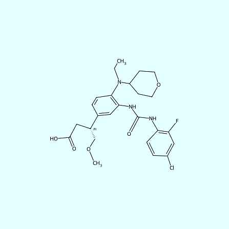 CCN(c1ccc([C@H](COC)CC(=O)O)cc1NC(=O)Nc1ccc(Cl)cc1F)C1CCOCC1